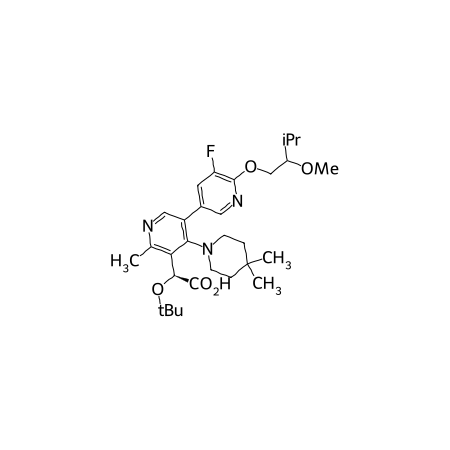 COC(COc1ncc(-c2cnc(C)c([C@H](OC(C)(C)C)C(=O)O)c2N2CCC(C)(C)CC2)cc1F)C(C)C